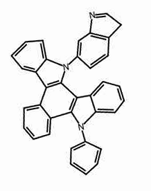 C1=Nc2cc(-n3c4ccccc4c4c5ccccc5c5c(c6ccccc6n5-c5ccccc5)c43)ccc2C1